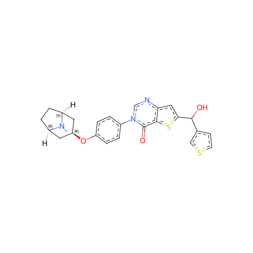 CN1[C@@H]2CC[C@H]1C[C@@H](Oc1ccc(-n3cnc4cc(C(O)c5ccsc5)sc4c3=O)cc1)C2